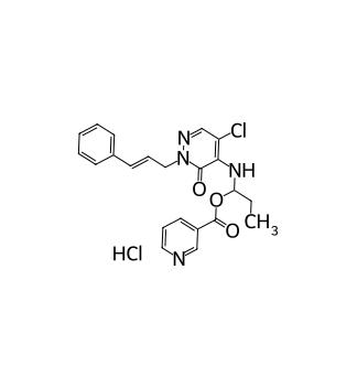 CCC(Nc1c(Cl)cnn(CC=Cc2ccccc2)c1=O)OC(=O)c1cccnc1.Cl